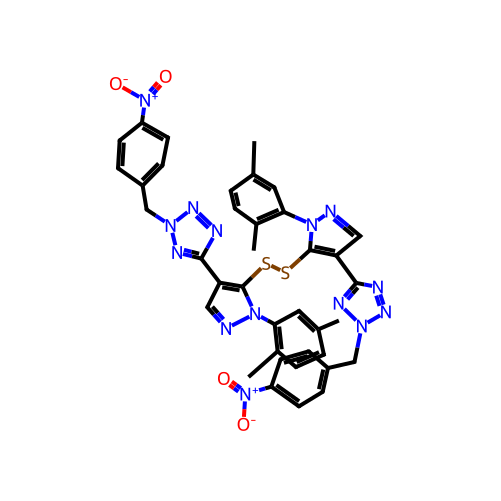 Cc1ccc(C)c(-n2ncc(-c3nnn(Cc4ccc([N+](=O)[O-])cc4)n3)c2SSc2c(-c3nnn(Cc4ccc([N+](=O)[O-])cc4)n3)cnn2-c2cc(C)ccc2C)c1